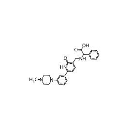 CN1CCN(c2cccc(-c3ccc(CNC(C(=O)O)c4ccccc4)c(=O)[nH]3)c2)CC1